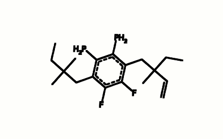 C=CC(C)(CC)Cc1c(F)c(F)c(CC(C)(C)CC)c(P)c1P